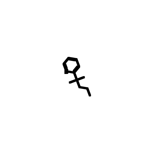 CCCC(C)(C)c1bcccc1